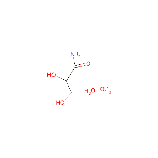 NC(=O)C(O)CO.O.O